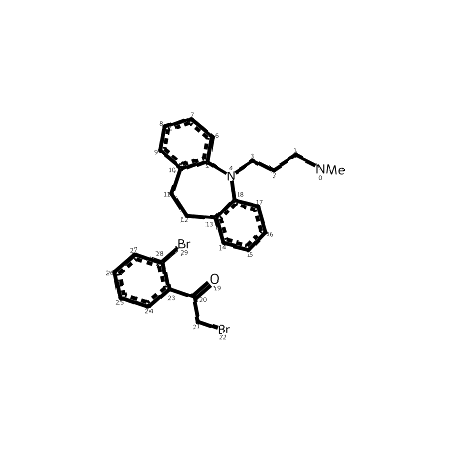 CNCCCN1c2ccccc2CCc2ccccc21.O=C(CBr)c1ccccc1Br